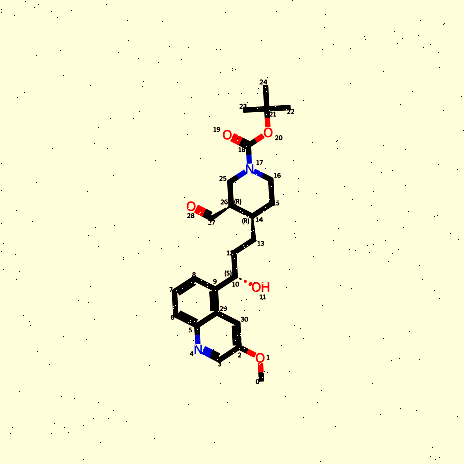 COc1cnc2cccc([C@@H](O)CC[C@@H]3CCN(C(=O)OC(C)(C)C)C[C@@H]3C=O)c2c1